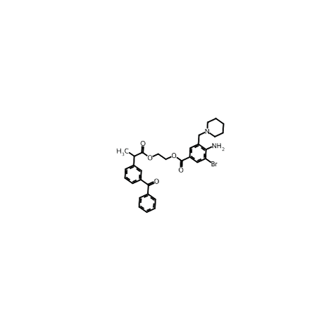 CC(C(=O)OCCOC(=O)c1cc(Br)c(N)c(CN2CCCCC2)c1)c1cccc(C(=O)c2ccccc2)c1